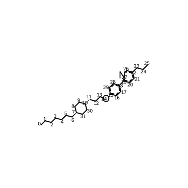 CCCCCCC[C@H]1CC[C@H](CCCOc2ccc(-c3ccc(CCC)cn3)cc2)CC1